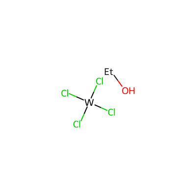 CCO.[Cl][W]([Cl])([Cl])[Cl]